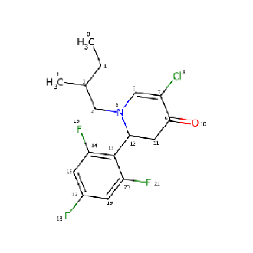 CCC(C)CN1C=C(Cl)C(=O)CC1c1c(F)cc(F)cc1F